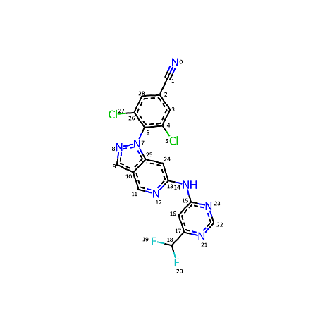 N#Cc1cc(Cl)c(-n2ncc3cnc(Nc4cc(C(F)F)ncn4)cc32)c(Cl)c1